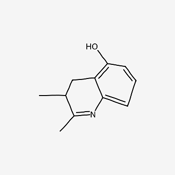 CC1=Nc2cccc(O)c2CC1C